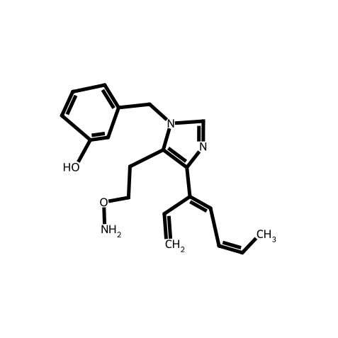 C=C/C(=C\C=C/C)c1ncn(Cc2cccc(O)c2)c1CCON